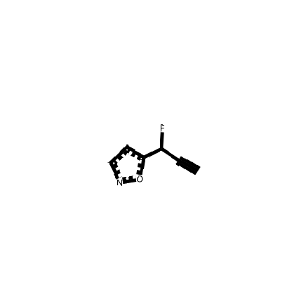 C#CC(F)c1c[c]no1